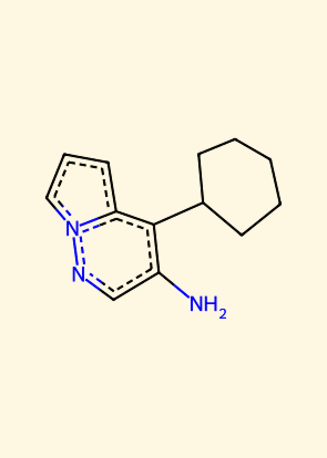 Nc1cnn2cccc2c1C1CCCCC1